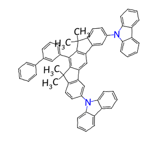 CC1(C)c2ccc(-n3c4ccccc4c4ccccc43)cc2-c2cc3c(c(-c4cccc(-c5ccccc5)c4)c21)C(C)(C)c1ccc(-n2c4ccccc4c4ccccc42)cc1-3